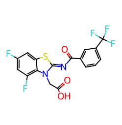 O=C(O)Cn1/c(=N/C(=O)c2cccc(C(F)(F)F)c2)sc2cc(F)cc(F)c21